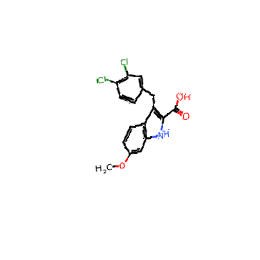 COc1ccc2c(Cc3ccc(Cl)c(Cl)c3)c(C(=O)O)[nH]c2c1